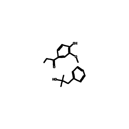 CC(C)(O)Cc1ccccc1.CCC(=O)c1ccc(O)c(OC)c1